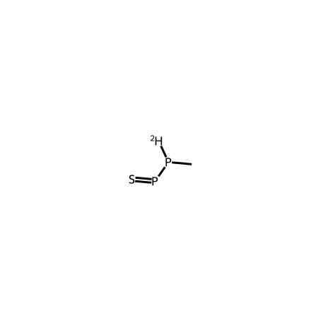 [2H]P(C)P=S